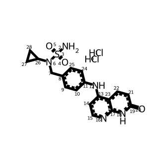 Cl.Cl.NS(=O)(=O)N(Cc1ccc(Nc2ccnc3[nH]c(=O)ccc23)cc1)C1CC1